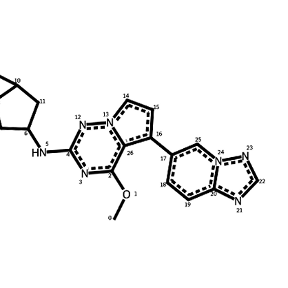 COc1nc(NC2CC3CC3C2)nn2ccc(-c3ccc4ncnn4c3)c12